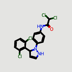 O=C(Nc1ccc(N2NC=CC2c2c(Cl)cccc2Cl)cc1)C(Cl)Cl